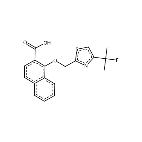 CC(C)(F)c1csc(COc2c(C(=O)O)ccc3ccccc23)n1